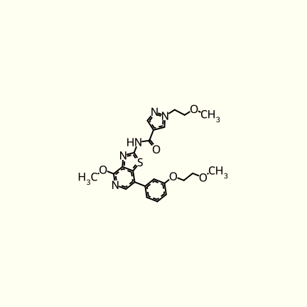 COCCOc1cccc(-c2cnc(OC)c3nc(NC(=O)c4cnn(CCOC)c4)sc23)c1